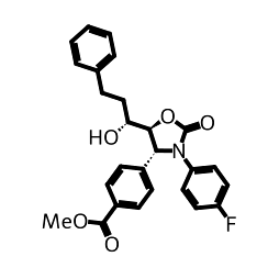 COC(=O)c1ccc([C@@H]2[C@@H]([C@H](O)CCc3ccccc3)OC(=O)N2c2ccc(F)cc2)cc1